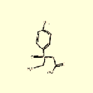 CCS(=O)(=NC(=O)O)c1ccc(N)cc1